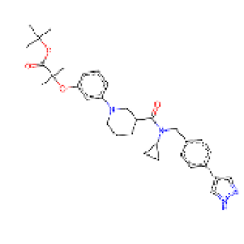 CC(C)(C)OC(=O)C(C)(C)Oc1cccc(N2CCCC(C(=O)N(Cc3ccc(-c4cn[nH]c4)cc3)C3CC3)C2)c1